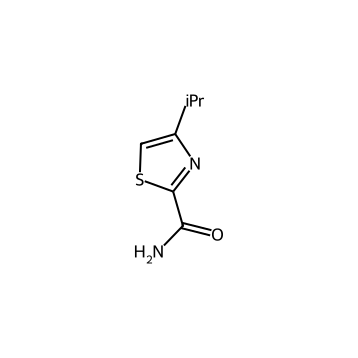 CC(C)c1csc(C(N)=O)n1